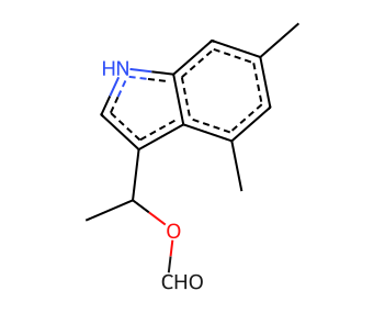 Cc1cc(C)c2c(C(C)OC=O)c[nH]c2c1